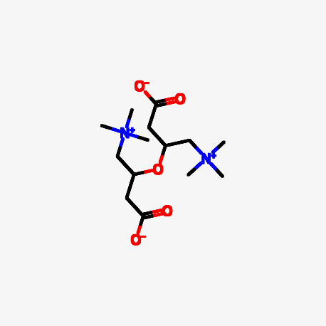 C[N+](C)(C)CC(CC(=O)[O-])OC(CC(=O)[O-])C[N+](C)(C)C